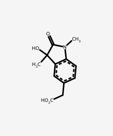 CN1C(=O)C(C)(O)c2cc(CC(=O)O)ccc21